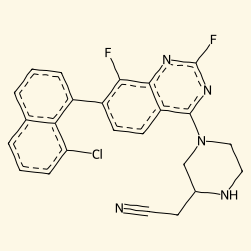 N#CCC1CN(c2nc(F)nc3c(F)c(-c4cccc5cccc(Cl)c45)ccc23)CCN1